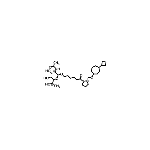 CC(=O)N[C@@H](CO)C(OCCCCCC(=O)N1CCC[C@H]1COC1CCCC(C2CCC2)CC1)OC(CO)[C@@H](C)O